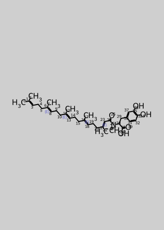 CC(C)=CCC/C(C)=C/CC/C(C)=C/CC/C(C)=C/CC/C(C)=C/C(=O)N(C)C(Cc1ccc(O)c(O)c1)C(=O)O